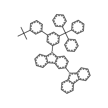 CC(C)(C)c1cccc(-c2cc(-n3c4ccccc4c4cc(-n5c6ccccc6c6ccccc65)ccc43)cc(C(c3ccccc3)(c3ccccc3)c3ccccc3)c2)c1